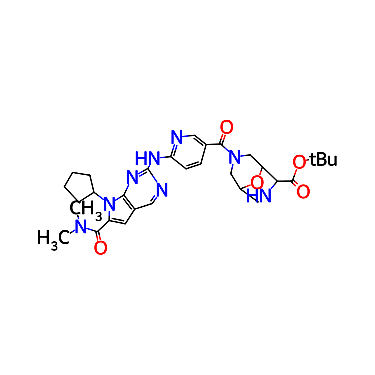 CN(C)C(=O)c1cc2cnc(Nc3ccc(C(=O)N4CC5CNC(C(=O)OC(C)(C)C)C(C4)O5)cn3)nc2n1C1CCCC1